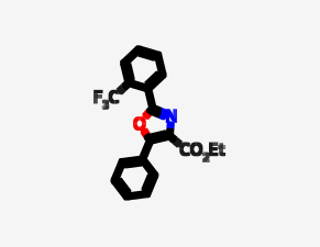 CCOC(=O)c1nc(-c2ccccc2C(F)(F)F)oc1-c1ccccc1